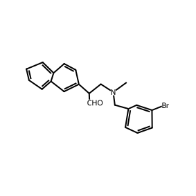 CN(Cc1cccc(Br)c1)CC(C=O)c1ccc2ccccc2c1